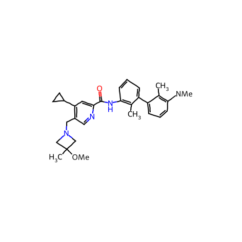 CNc1cccc(-c2cccc(NC(=O)c3cc(C4CC4)c(CN4CC(C)(OC)C4)cn3)c2C)c1C